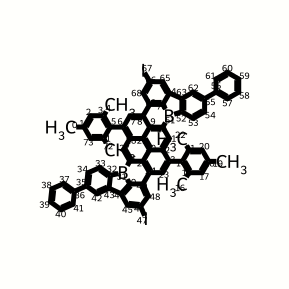 Cc1cc(C)c(-c2cc3c4c(cc5c(-c6c(C)cc(C)cc6C)cc6c7c(cc2c4c57)B2c4ccc(-c5ccccc5)cc4-c4cc(I)cc-6c42)B2c4ccc(-c5ccccc5)cc4-c4cc(I)cc-3c42)c(C)c1